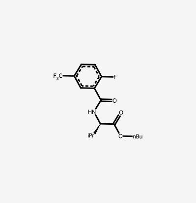 CCCCOC(=O)[C@H](NC(=O)c1cc(C(F)(F)F)ccc1F)C(C)C